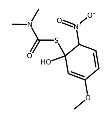 COC1=CC(O)(SC(=O)N(C)C)C([N+](=O)[O-])C=C1